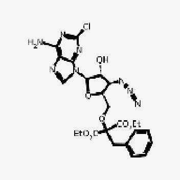 CCOC(=O)C(Cc1ccccc1)(OC[C@H]1O[C@@H](n2cnc3c(N)nc(Cl)nc32)[C@H](O)[C@H]1N=[N+]=[N-])C(=O)OCC